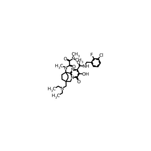 CCN(CC)CC12CCC(N(C)C(=O)C(=O)N(C)C)(CC1)c1nc(C(=O)NCc3cccc(Cl)c3F)c(O)c(=O)n1C2